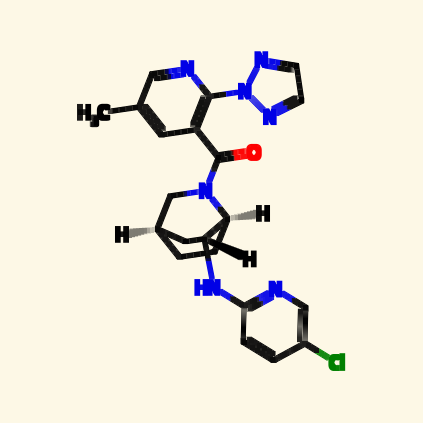 Cc1cnc(-n2nccn2)c(C(=O)N2C[C@@H]3CC[C@H]2[C@H](Nc2ccc(Cl)cn2)C3)c1